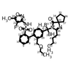 BC(B)(c1ccc(-c2ccccc2S(=O)(=O)Nc2noc(C)c2F)c(COCC)c1)N1C(=O)C2(CCCC2)N=C1CCCC